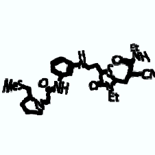 CCNC(=O)C(C#N)CC1SC(CCNc2cccc(NC(=O)CN3CCCC3CSC)c2)C(=O)N1CC